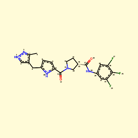 Cc1n[nH]cc1Cc1ccc(C(=O)N2CC[C@H](C(=O)Nc3cc(F)c(F)c(F)c3)C2)[nH]1